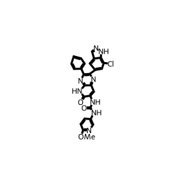 COc1ccc(NC(=O)Nc2cc3nc(-c4cc(Cl)c5[nH]ncc5c4)c(-c4ccccc4)nc3[nH]c2=O)cn1